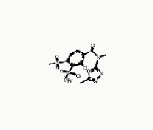 CCCS(=O)(=O)c1c(S(C)(=O)=O)ccc(C(=O)N(C)c2nnc(C)o2)c1Cl